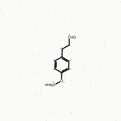 CCCCCCCOc1ccc(CCC=O)cc1